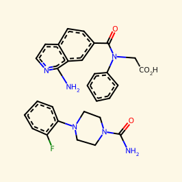 NC(=O)N1CCN(c2ccccc2F)CC1.Nc1nccc2ccc(C(=O)N(CC(=O)O)c3ccccc3)cc12